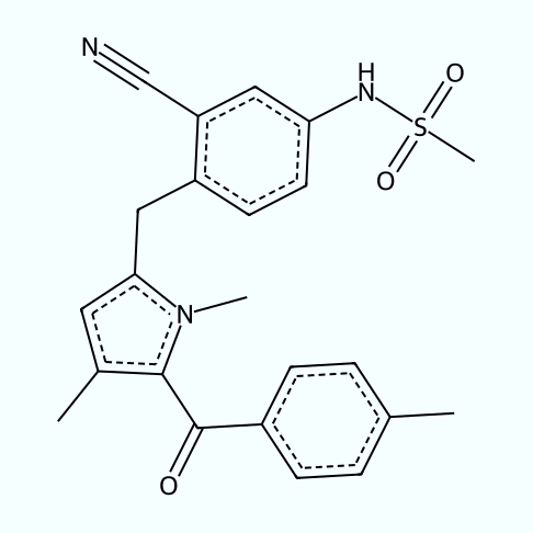 Cc1ccc(C(=O)c2c(C)cc(Cc3ccc(NS(C)(=O)=O)cc3C#N)n2C)cc1